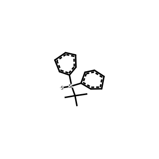 CC(C)(C)[Si]([S])(c1ccccc1)c1ccccc1